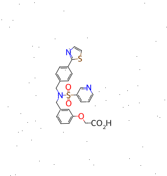 O=C(O)COc1cccc(CN(Cc2ccc(-c3nccs3)cc2)S(=O)(=O)c2cccnc2)c1